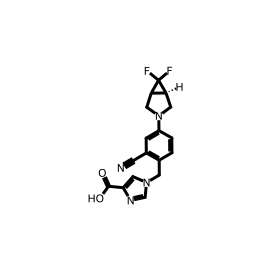 N#Cc1cc(N2CC3[C@H](C2)C3(F)F)ccc1Cn1cnc(C(=O)O)c1